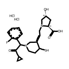 Cl.Cl.O=C(C1CC1)C(c1ccccc1F)N1CCC(S)C(=CCN2C[C@H](O)C[C@H]2C(=O)O)C1